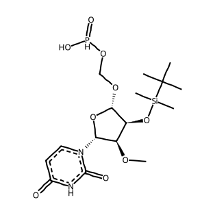 CO[C@@H]1[C@H](O[Si](C)(C)C(C)(C)C)[C@@H](OCO[PH](=O)O)O[C@H]1n1ccc(=O)[nH]c1=O